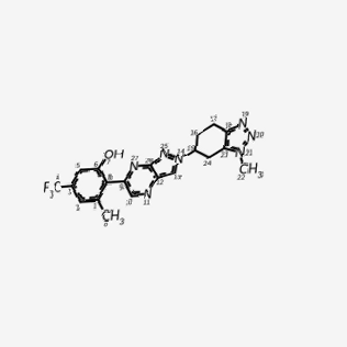 Cc1cc(C(F)(F)F)cc(O)c1-c1cnc2cn(C3CCc4nnn(C)c4C3)nc2n1